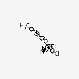 Cc1ccc(N2CCN(c3ccc(OCC4COC(Cn5cncn5)(c5ccc(Cl)cc5Cl)O4)cc3)CC2)cc1